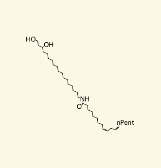 CCCCC/C=C\C/C=C\CCCCCCCC(=O)NCCCCCCCCCCCCCCCC(O)CCO